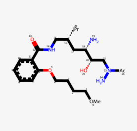 COCCCCOc1ccccc1C(=O)NC[C@@H](C[C@H](N)[C@@H](O)CN(N)C(C)=O)C(C)C